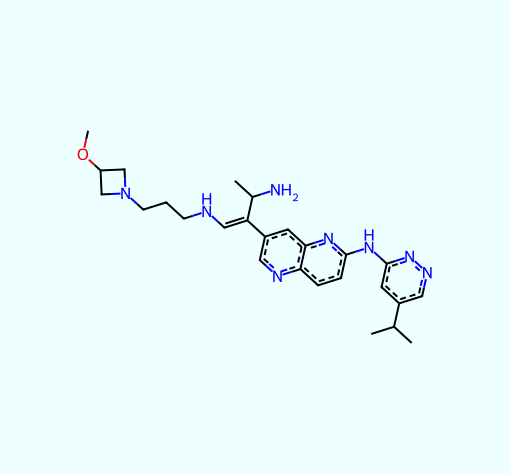 COC1CN(CCCN/C=C(/c2cnc3ccc(Nc4cc(C(C)C)cnn4)nc3c2)C(C)N)C1